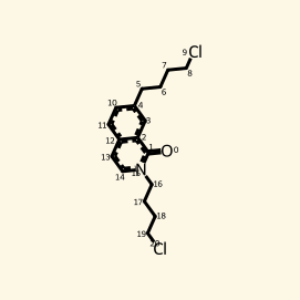 O=c1c2cc(CCCCCl)ccc2ccn1CCCCCl